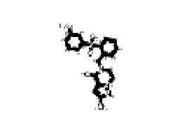 O=C1c2cc(C(F)(F)F)nn2CCN1Cc1ccccc1S(=O)(=O)c1cccc(C(F)(F)F)c1